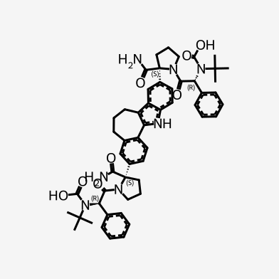 CC(C)(C)N(C(=O)O)[C@@H](C(=O)N1CCC[C@@]1(C(N)=O)c1ccc2c(c1)CCCc1c-2[nH]c2ccc([C@]3(C(N)=O)CCCN3C(=O)[C@@H](c3ccccc3)N(C(=O)O)C(C)(C)C)cc12)c1ccccc1